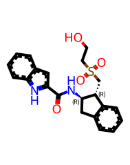 O=C(N[C@@H]1Cc2ccccc2[C@H]1CS(=O)(=O)CCO)c1cc2ccccc2[nH]1